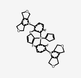 Fc1ccc(-n2c3c(c4c2COC4)COC3)c(F)[c]1[Ti]([C]1=CC=CC1)([C]1=CC=CC1)[c]1c(F)ccc(-n2c3c(c4c2COC4)COC3)c1F